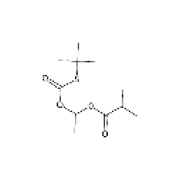 CC(OC(=O)SC(C)(C)C)OC(=O)C(C)C